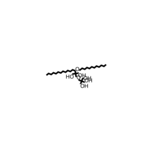 CCCCCCCCCCCCOC(CCCCCCCCCCCC)C(CO)(CO)COCC(CO)(CO)CO